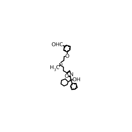 CN(CCCOc1cccc(C=O)c1)CCc1cnc([C@](O)(c2ccccc2)C2CCCCC2)o1